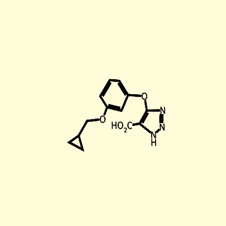 O=C(O)c1[nH]nnc1Oc1cccc(OCC2CC2)c1